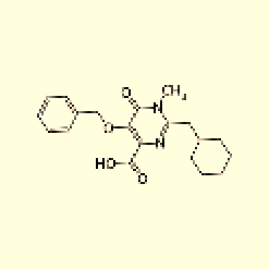 Cn1c(CC2CCCCC2)nc(C(=O)O)c(OCc2ccccc2)c1=O